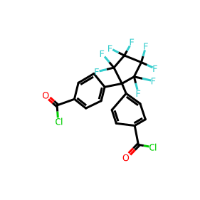 O=C(Cl)c1ccc(C2(c3ccc(C(=O)Cl)cc3)C(F)(F)C(F)(F)C(F)(F)C2(F)F)cc1